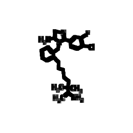 C=C(N)C(C)(C)CCCCCc1ccccc1Cn1c(N)cnc1-c1ccc(Cl)c(F)c1